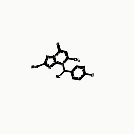 CSc1nc2n(C(C#N)c3ccc(Cl)nc3)c(C)cc(=O)n2n1